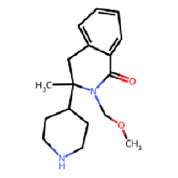 COCN1C(=O)c2ccccc2CC1(C)C1CCNCC1